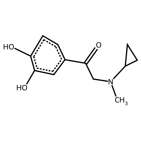 CN(CC(=O)c1ccc(O)c(O)c1)C1CC1